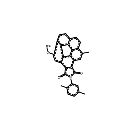 Cc1ccc(C)c(-n2c(=O)c3c4cc(C)c5ccc6ccc7c(OC(C)(C)C)cc(c3c2=O)c2c7c6c5c42)c1